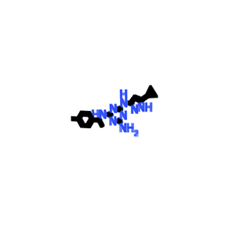 Cc1ccc(C(C)Nc2nc(N)nc(Nc3cc(C4CC4)[nH]n3)n2)cc1